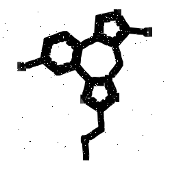 COCc1nc2n(n1)Cc1c(Cl)ncn1-c1ccc(Br)cc1-2